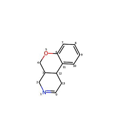 C1=NCC2COc3ccccc3C2C1